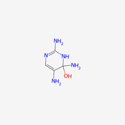 NC1=CN=C(N)NC1(N)O